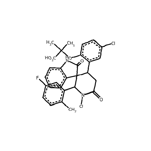 Cc1ccc(F)cc1C1N(Cl)C(=O)CC(c2cc(Cl)ccc2OC(C)(C)C(=O)O)C12C(=O)Nc1ccccc12